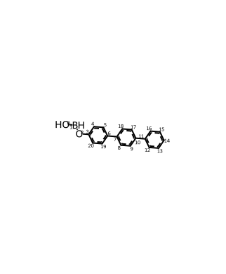 OBOc1ccc(-c2ccc(-c3ccccc3)cc2)cc1